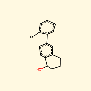 CCc1ccccc1-c1ccc2c(c1)CCCC2O